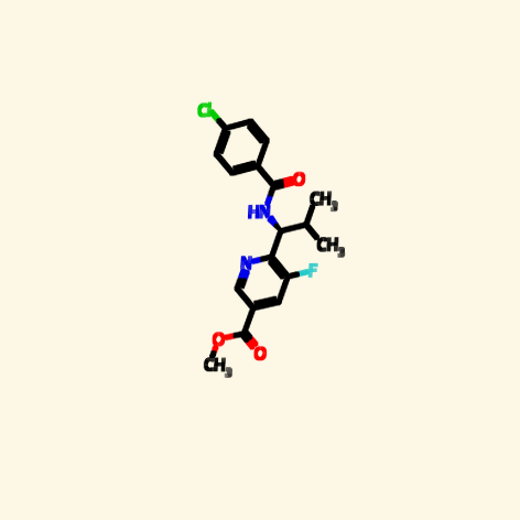 COC(=O)c1cnc([C@@H](NC(=O)c2ccc(Cl)cc2)C(C)C)c(F)c1